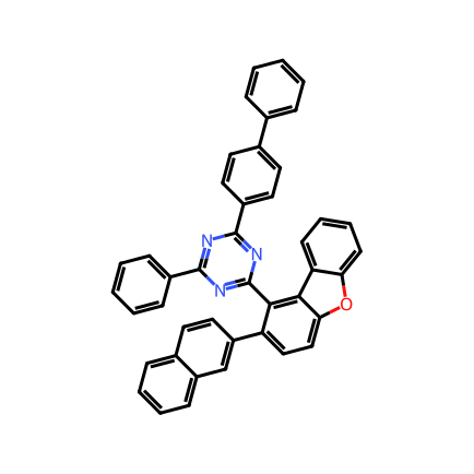 c1ccc(-c2ccc(-c3nc(-c4ccccc4)nc(-c4c(-c5ccc6ccccc6c5)ccc5oc6ccccc6c45)n3)cc2)cc1